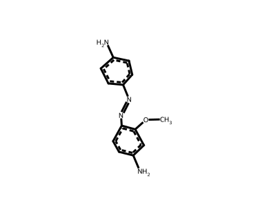 COc1cc(N)ccc1N=Nc1ccc(N)cc1